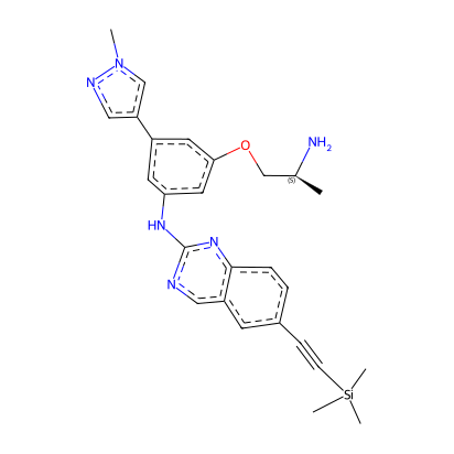 C[C@H](N)COc1cc(Nc2ncc3cc(C#C[Si](C)(C)C)ccc3n2)cc(-c2cnn(C)c2)c1